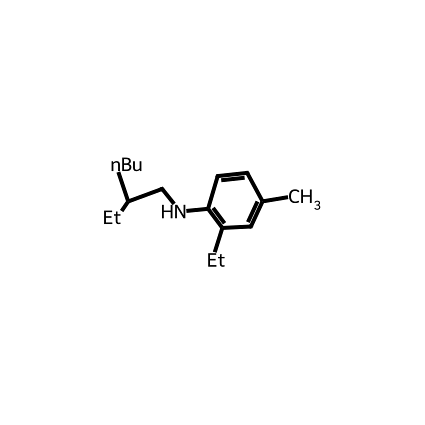 CCCCC(CC)CNc1ccc(C)cc1CC